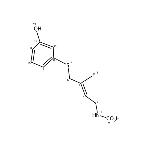 O=C(O)NC/C=C(\F)CSc1cccc(O)c1